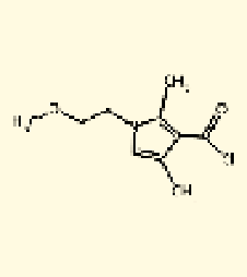 COCCn1cc(C)c(C(=O)Cl)c1C